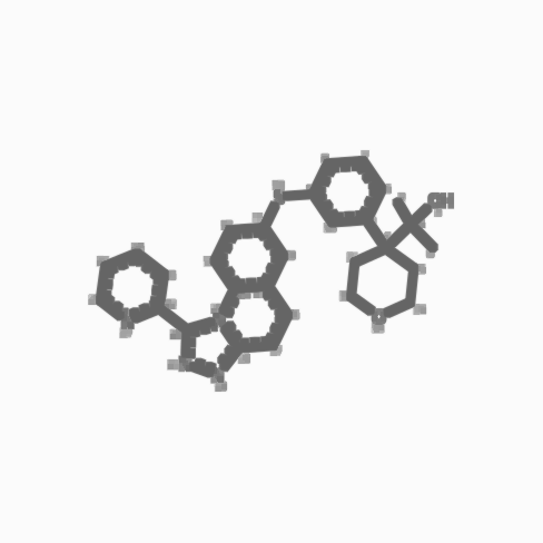 CC(C)(O)C1(c2cccc(Sc3ccc4c(ccc5nnc(-c6ccccn6)n54)c3)c2)CCOCC1